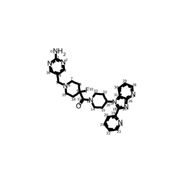 Nc1ncc(CN2CCC(F)(C(=O)N3CCC(n4c(-c5ccccn5)nc5ncccc54)CC3)CC2)cn1